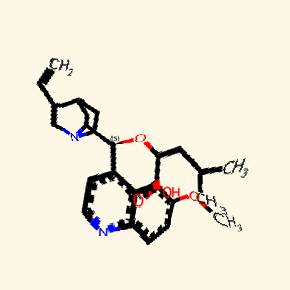 C=CC1CN2CCC1CC2[C@@H](OC(CC(C)C)C(=O)O)c1ccnc2ccc(OC)cc12